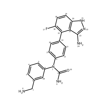 NCc1cccc(N(C(N)=O)c2ccc(-c3c(F)ccc4[nH]nc(N)c34)cc2)c1